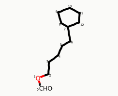 O=[C]OCCCCCC1CCCCC1